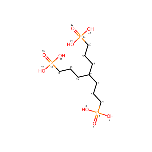 O=P(O)(O)CCC[C](CCCP(=O)(O)O)CCCP(=O)(O)O